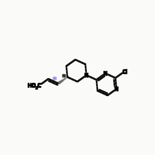 O=C(O)/C=C/[C@@H]1CCCN(c2ccnc(Cl)n2)C1